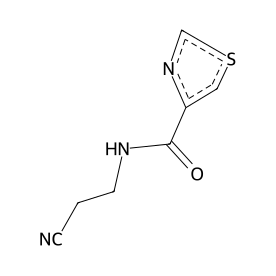 N#CCCNC(=O)c1cscn1